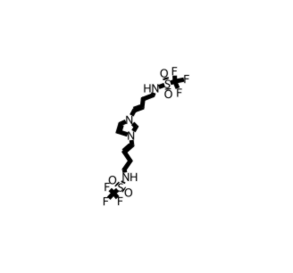 O=S(=O)(NCCC=CN1C=CN(C=CCCNS(=O)(=O)C(F)(F)F)C1)C(F)(F)F